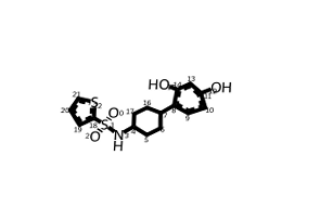 O=S(=O)(NC1CCC(c2ccc(O)cc2O)CC1)c1cccs1